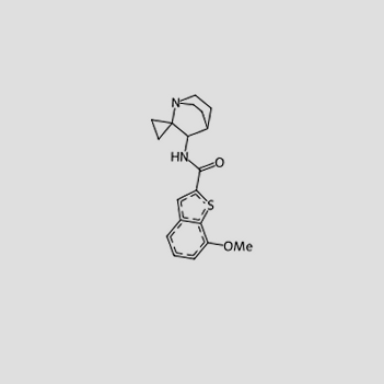 COc1cccc2cc(C(=O)NC3C4CCN(CC4)C34CC4)sc12